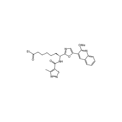 CCC(=O)CCCCC[C@H](NC(=O)c1snnc1C)c1ncc(-c2cc3ccccc3nc2OC)o1